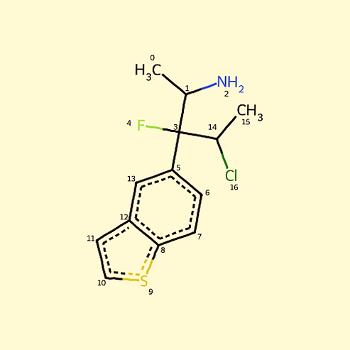 CC(N)C(F)(c1ccc2sccc2c1)C(C)Cl